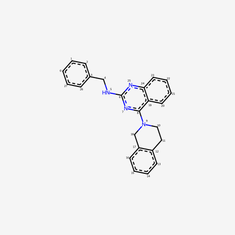 c1ccc(CNc2nc(N3CCc4ccccc4C3)c3ccccc3n2)cc1